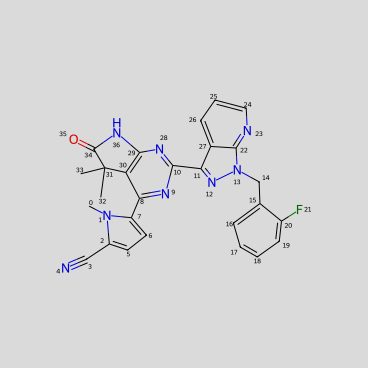 Cn1c(C#N)ccc1-c1nc(-c2nn(Cc3ccccc3F)c3ncccc23)nc2c1C(C)(C)C(=O)N2